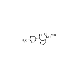 Cc1ccc([C@@H](O)[C@@H]2CCCN2C(=O)OC(C)(C)C)cc1